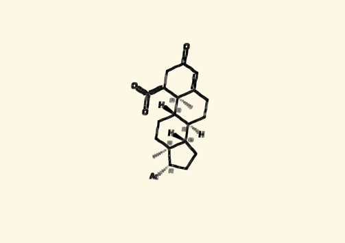 CC(=O)[C@H]1CC[C@H]2[C@@H]3CCC4=CC(=O)CC(=S(=O)=O)[C@]4(C)[C@H]3CC[C@]12C